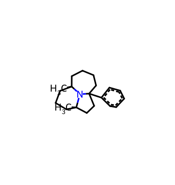 CC12CCCCC3(c4ccccc4)CCC(C)(CCC1)N23